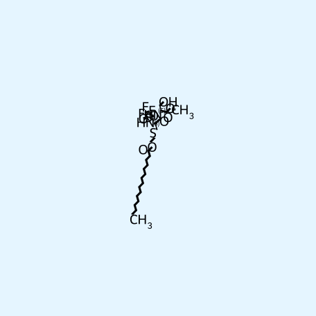 CCCCCCCCCCCCCCCC(=O)OCCSC[C@@H](NS(=O)(=O)C(F)(F)F)C(=O)N[C@@H](CO)C(=O)OC